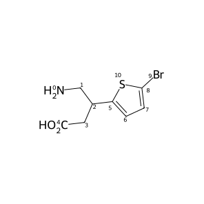 NCC(CC(=O)O)c1ccc(Br)s1